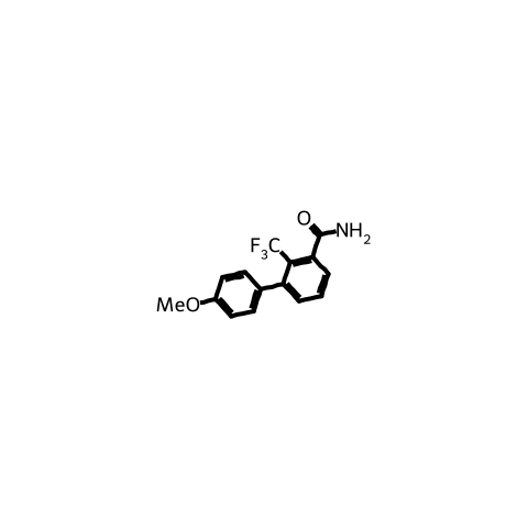 COc1ccc(-c2cccc(C(N)=O)c2C(F)(F)F)cc1